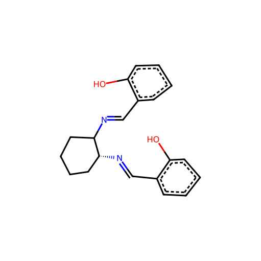 Oc1ccccc1C=NC1CCCC[C@H]1N=Cc1ccccc1O